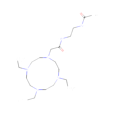 CC(C)(C)C(=O)NCCNC(=O)CN1CCN(CC(=O)O)CCN(CC(=O)O)CCN(CC(=O)O)CC1